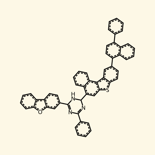 c1ccc(C2=NC(c3cc4sc5ccc(-c6ccc(-c7ccccc7)c7ccccc67)cc5c4c4ccccc34)NC(c3ccc4c(c3)oc3ccccc34)=N2)cc1